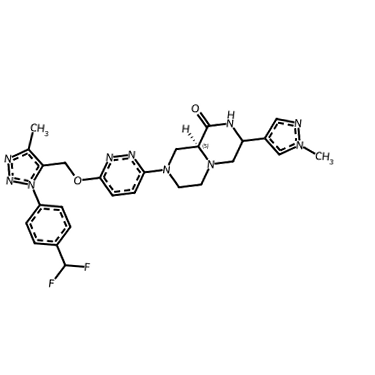 Cc1nnn(-c2ccc(C(F)F)cc2)c1COc1ccc(N2CCN3CC(c4cnn(C)c4)NC(=O)[C@@H]3C2)nn1